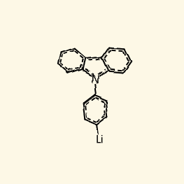 [Li][c]1ccc(-n2c3ccccc3c3ccccc32)cc1